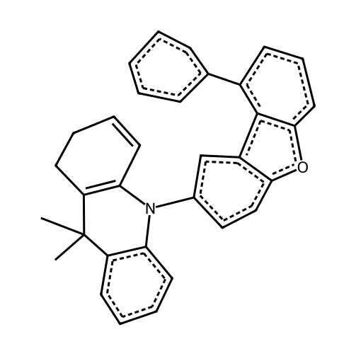 CC1(C)C2=C(C=CCC2)N(c2ccc3oc4cccc(-c5ccccc5)c4c3c2)c2ccccc21